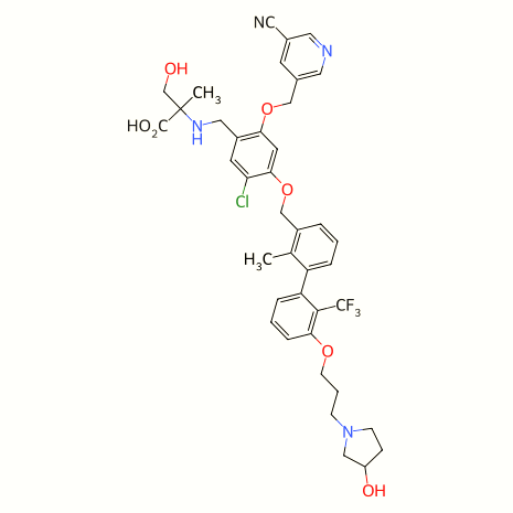 Cc1c(COc2cc(OCc3cncc(C#N)c3)c(CNC(C)(CO)C(=O)O)cc2Cl)cccc1-c1cccc(OCCCN2CCC(O)C2)c1C(F)(F)F